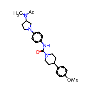 COc1ccc(C2CCN(C(=O)Nc3ccc(N4CCC(N(C)C(C)=O)C4)cc3)CC2)cc1